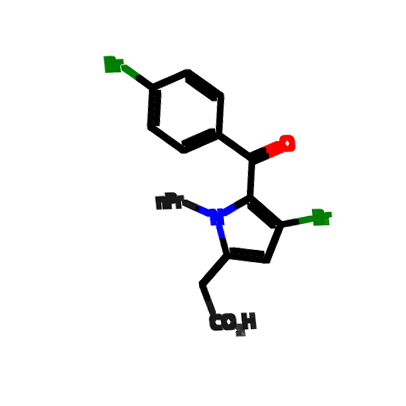 CCCn1c(CC(=O)O)cc(Br)c1C(=O)c1ccc(Br)cc1